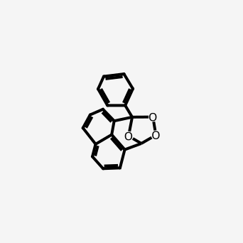 c1ccc(C23OOC(O2)c2cccc4cccc3c24)cc1